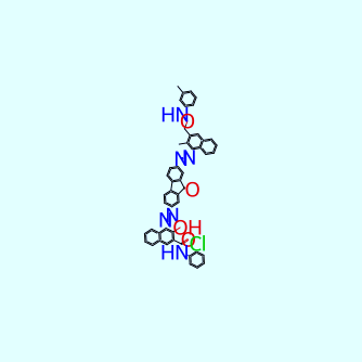 Cc1cccc(NOCc2cc3ccccc3c(N=Nc3ccc4c(c3)C(=O)c3cc(N=Nc5c(O)c(C(=O)Nc6ccccc6Cl)cc6ccccc56)ccc3-4)c2C)c1